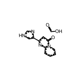 O=CO.O=c1cc(-c2c[nH]cn2)nc2ccccn12